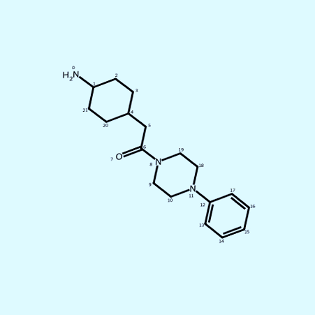 NC1CCC(CC(=O)N2CCN(c3ccccc3)CC2)CC1